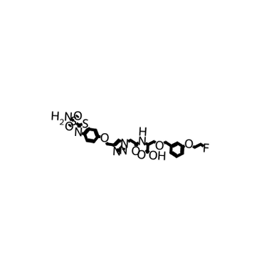 NS(=O)(=O)c1nc2ccc(OCc3cn(CC(=O)NC(COCc4cccc(OCCF)c4)C(=O)O)nn3)cc2s1